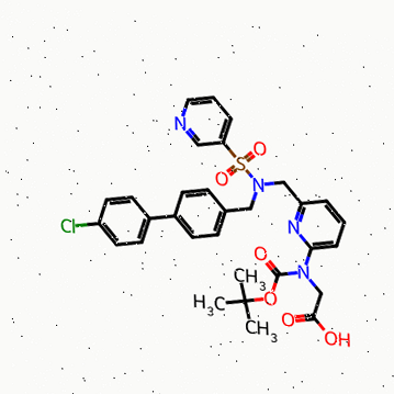 CC(C)(C)OC(=O)N(CC(=O)O)c1cccc(CN(Cc2ccc(-c3ccc(Cl)cc3)cc2)S(=O)(=O)c2cccnc2)n1